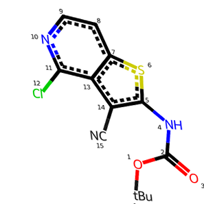 CC(C)(C)OC(=O)Nc1sc2ccnc(Cl)c2c1C#N